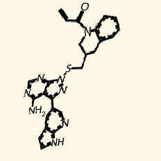 C=CC(=O)N1CC(CSn2nc(-c3cnc4[nH]ccc4c3)c3c(N)ncnc32)Cc2ccccc21